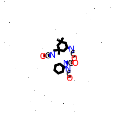 CC1(C)CC(N=C=O)CC(C)(CN=C=O)C1.O=C=NC1(N=C=O)CCCCC1